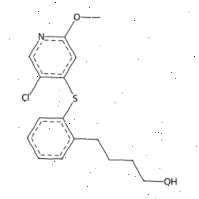 COc1cc(Sc2ccccc2CCCCO)c(Cl)cn1